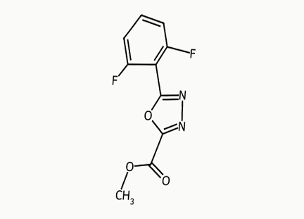 COC(=O)c1nnc(-c2c(F)cccc2F)o1